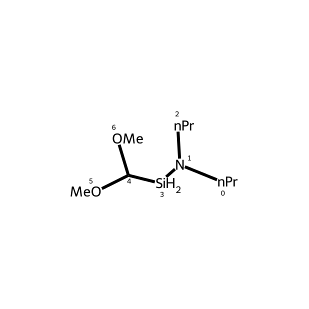 CCCN(CCC)[SiH2]C(OC)OC